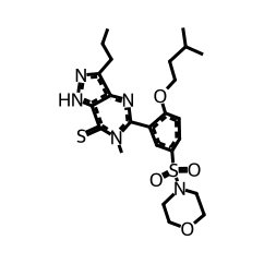 CCCc1n[nH]c2c(=S)n(C)c(-c3cc(S(=O)(=O)N4CCOCC4)ccc3OCCC(C)C)nc12